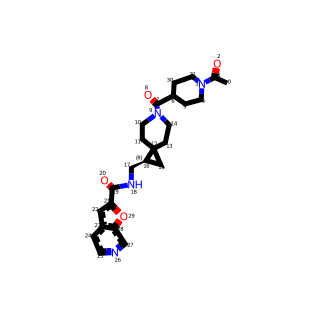 CC(=O)N1CCC(C(=O)N2CCC3(CC2)C[C@H]3CNC(=O)c2cc3ccncc3o2)CC1